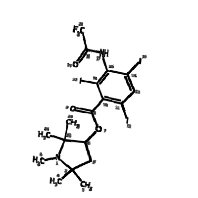 CN1C(C)(C)CC(OC(=O)c2c(I)cc(I)c(NC(=O)C(F)(F)F)c2I)C1(C)C